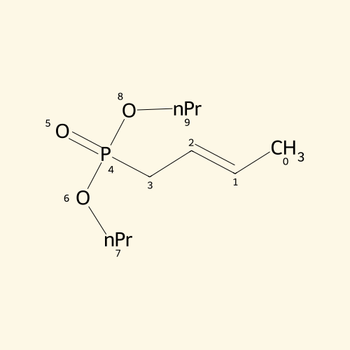 CC=CCP(=O)(OCCC)OCCC